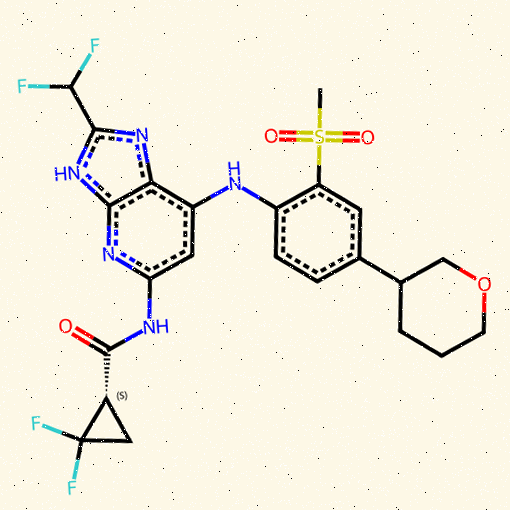 CS(=O)(=O)c1cc(C2CCCOC2)ccc1Nc1cc(NC(=O)[C@@H]2CC2(F)F)nc2[nH]c(C(F)F)nc12